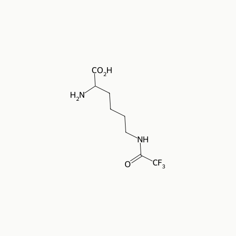 NC(CCCCNC(=O)C(F)(F)F)C(=O)O